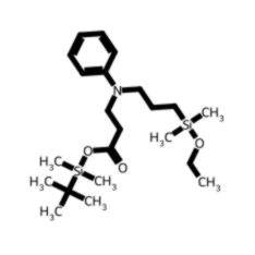 CCO[Si](C)(C)CCCN(CCC(=O)O[Si](C)(C)C(C)(C)C)c1ccccc1